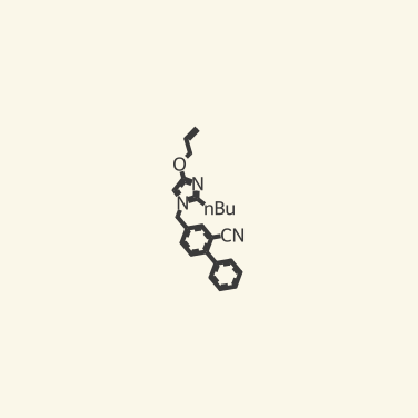 C=CCOc1cn(Cc2ccc(-c3ccccc3)c(C#N)c2)c(CCCC)n1